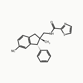 C[C@]1(CNC(=O)c2nccs2)Cc2ccc(C#N)cc2[C@H]1c1ccccc1